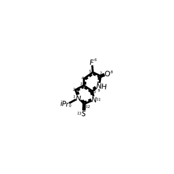 CC(C)n1cc2cc(F)c(=O)[nH]c2nc1=S